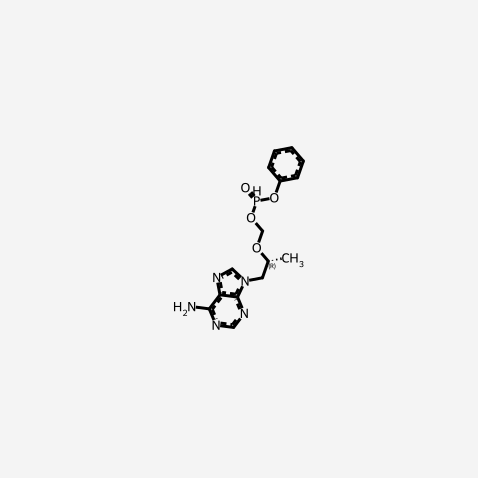 C[C@H](Cn1cnc2c(N)ncnc21)OCO[PH](=O)Oc1ccccc1